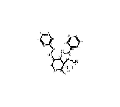 CC1OCC(OCc2ccccc2)C(OCc2ccccc2)[C@@]1(O)CC#N